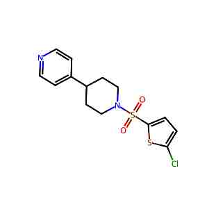 O=S(=O)(c1ccc(Cl)s1)N1CCC(c2ccncc2)CC1